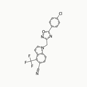 N#Cc1ccc2c(ccn2Cc2noc(-c3ccc(Cl)cc3)n2)c1C(F)(F)F